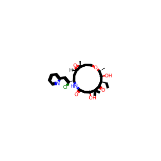 CC[C@H]1C(=O)C(C)(C)[C@@H](O)CC(=O)N[C@H](C(Cl)=Cc2ccccn2)C[C@@H]2O[C@]2(C)CCO[C@H](C)[C@H]1O